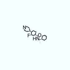 C[C@H](NC(=O)c1ccc(-c2ccncc2)c(F)c1)c1ccccc1